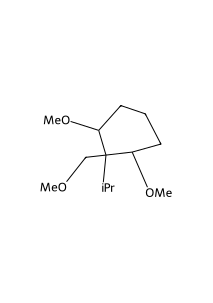 COCC1(C(C)C)C(OC)CCCC1OC